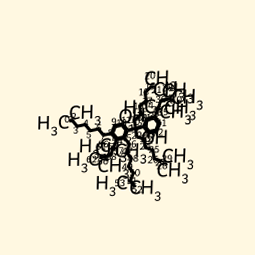 CC(C)CCCCCc1cc(O)c(C(CCCCCC(C)C)(CCCCCC(C)C)c2cc(C(C)(C)CC(C)(C)C)ccc2O)c(CCCCCC(C)C)c1C(C)(C)CC(C)(C)C